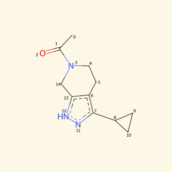 CC(=O)N1CCc2c(C3CC3)n[nH]c2C1